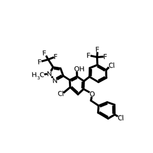 Cn1nc(-c2c(Cl)cc(OCc3ccc(Cl)cc3)c(-c3ccc(Cl)c(C(F)(F)F)c3)c2O)cc1C(F)(F)F